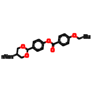 CCCCCCCCCC1COC(c2ccc(OC(=O)c3ccc(OCC(C)CC)cc3)cc2)OC1